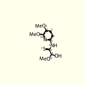 COc1ccc(NC(=S)C(O)OC)nc1OC